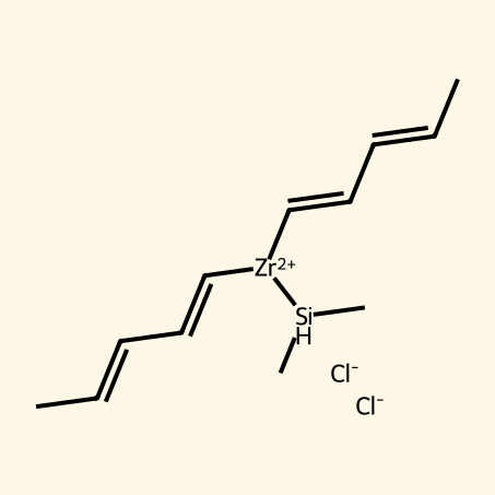 CC=CC=[CH][Zr+2]([CH]=CC=CC)[SiH](C)C.[Cl-].[Cl-]